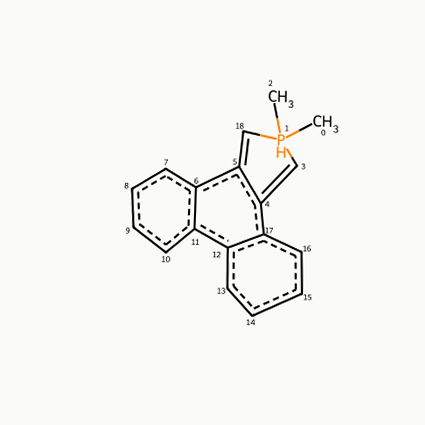 C[PH]1(C)C=c2c(c3ccccc3c3ccccc23)=C1